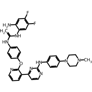 C=C(Nc1ccc(Oc2ncccc2-c2ccnc(Nc3ccc(N4CCN(C)CC4)cc3)n2)cc1)Nc1cc(F)c(F)cc1N